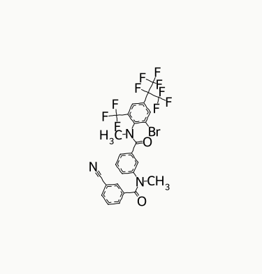 CN(C(=O)c1cccc(C#N)c1)c1cccc(C(=O)N(C)c2c(Br)cc(C(F)(C(F)(F)F)C(F)(F)F)cc2C(F)(F)F)c1